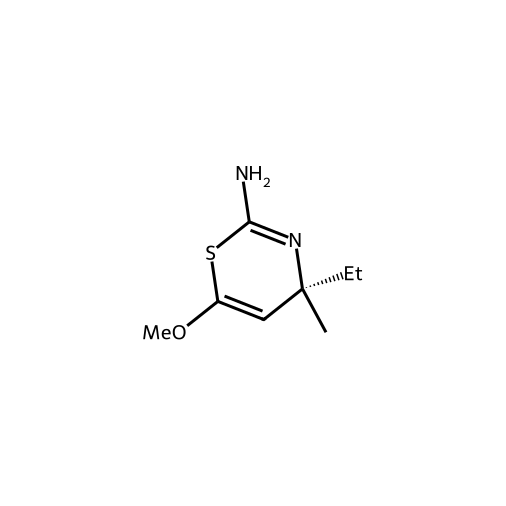 CC[C@]1(C)C=C(OC)SC(N)=N1